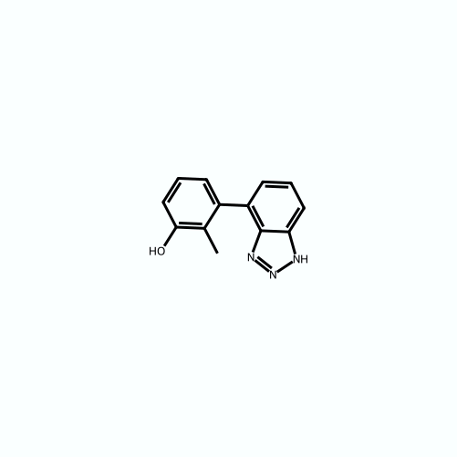 Cc1c(O)cccc1-c1cccc2[nH]nnc12